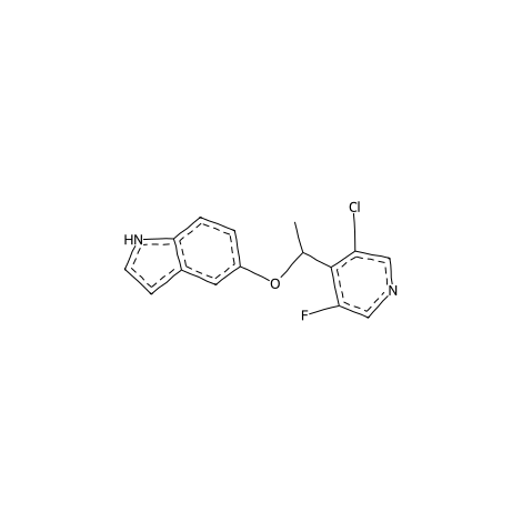 CC(Oc1ccc2[nH]ccc2c1)c1c(F)cncc1Cl